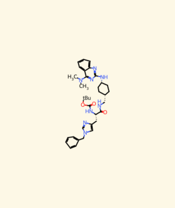 CN(C)c1nc(N[C@H]2CC[C@@H](CNC(=O)[C@H](Cc3cn(Cc4ccccc4)cn3)NC(=O)OC(C)(C)C)CC2)nc2ccccc12